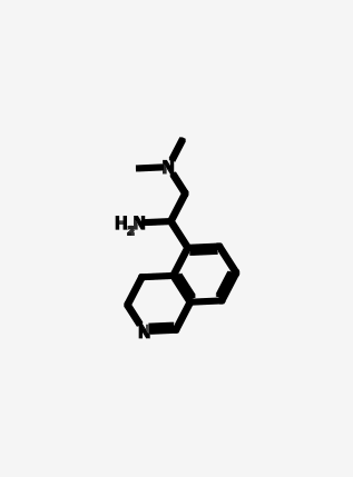 CN(C)CC(N)c1cccc2c1CCN=C2